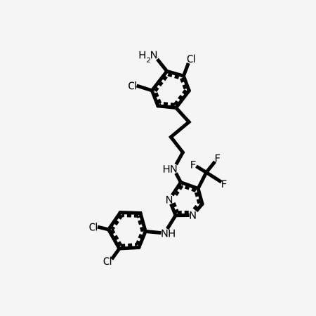 Nc1c(Cl)cc(CCCNc2nc(Nc3ccc(Cl)c(Cl)c3)ncc2C(F)(F)F)cc1Cl